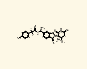 BC(NC(=O)C(F)(F)c1ccc(Cl)cc1)c1ccc2c(c1)CN([C@@]1(B)C(=O)NC(=O)CC1B)C2=O